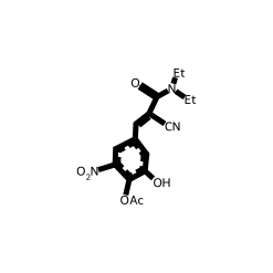 CCN(CC)C(=O)/C(C#N)=C/c1cc(O)c(OC(C)=O)c([N+](=O)[O-])c1